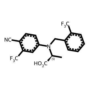 C[C@@H](C(=O)O)N(Cc1ccccc1C(F)(F)F)c1ccc(C#N)c(C(F)(F)F)c1